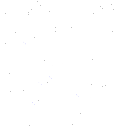 Cc1cccc2c1NCCC2C(=O)n1nc(N)c2c1C(C)N(S(C)(=O)=O)CC2